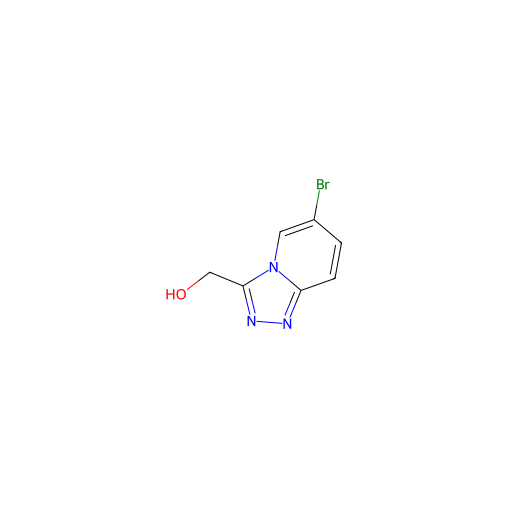 OCc1nnc2ccc(Br)cn12